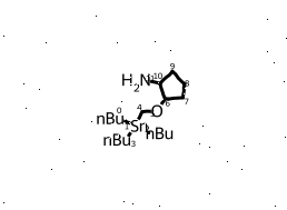 CCC[CH2][Sn]([CH2]CCC)([CH2]CCC)[CH2]OC1CCCC1N